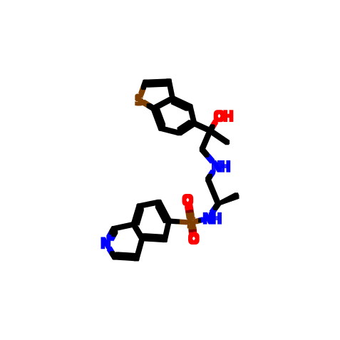 C[C@H](CNCC(C)(O)c1ccc2sccc2c1)NS(=O)(=O)c1ccc2cnccc2c1